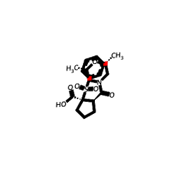 C[C@@H]1CN(C(=O)[C@H]2CCC[C@@]2(C(=O)O)S(=O)(=O)c2ccccc2)C[C@H](C)O1